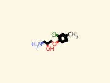 Cc1ccc(OCC(O)CN)c(Cl)c1